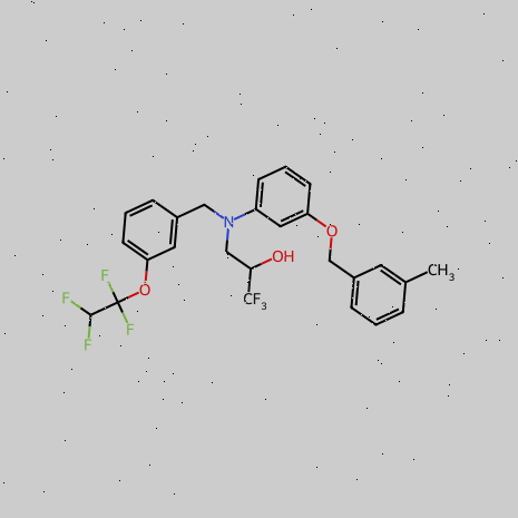 Cc1cccc(COc2cccc(N(Cc3cccc(OC(F)(F)C(F)F)c3)CC(O)C(F)(F)F)c2)c1